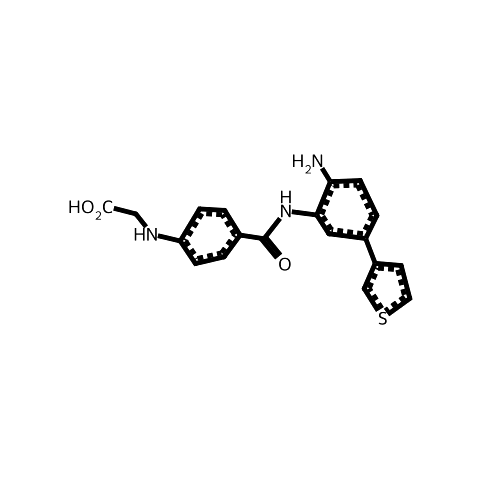 Nc1ccc(-c2ccsc2)cc1NC(=O)c1ccc(NCC(=O)O)cc1